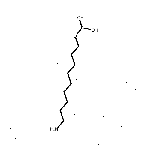 NCCCCCCCCCOP(O)O